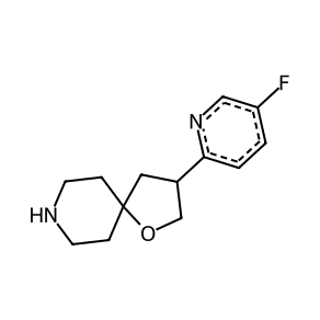 Fc1ccc(C2COC3(CCNCC3)C2)nc1